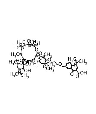 CO[C@]1(C)C[C@H](O[C@H]2[C@H](C)[C@@H](O[C@@H]3O[C@H](C)C[C@H](N(C)C)[C@H]3O)[C@](C)(O)C[C@@H](C)CN(C)[C@H](C)[C@@H](O)[C@](C)(O)[C@@H](I)OC(=O)[C@@H]2C)O[C@@H](C)[C@@H]1OCCCOCc1ccc2c(c1)c(=O)c(C(=O)O)cn2N(C)C